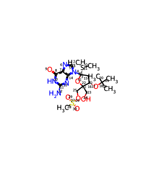 C[SiH](C)[C@]1(n2cnc3c(=O)[nH]c(N)nc32)C[C@H](OC(C)(C)C)[C@](CO)(COS(C)(=O)=O)O1